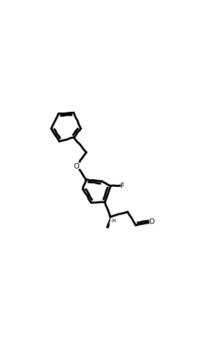 C[C@H](CC=O)c1ccc(OCc2ccccc2)cc1F